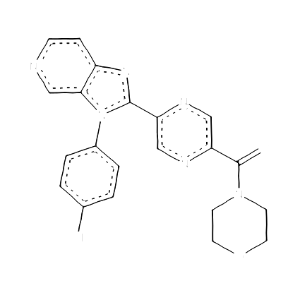 O=C(c1cnc(-c2nc3ccncc3n2-c2ccc(Cl)cc2)cn1)N1CCOCC1